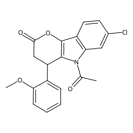 COc1ccccc1C1CC(=O)Oc2c1n(C(C)=O)c1cc(Cl)ccc21